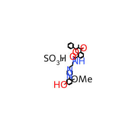 COc1ccc(O)cc1N1CCN(CCCNC(=O)c2cccc3c(=O)c(C)c(-c4ccccc4)oc23)CC1.CS(=O)(=O)O